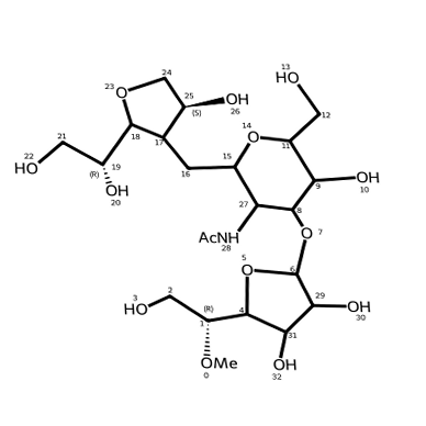 CO[C@H](CO)C1OC(OC2C(O)C(CO)OC(CC3C([C@H](O)CO)OC[C@H]3O)C2NC(C)=O)C(O)C1O